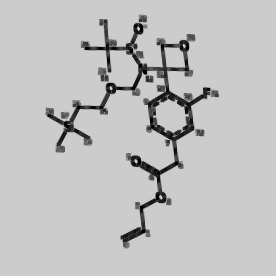 C=CCOC(=O)Cc1ccc(C2(N(COCC[Si](C)(C)C)[S+]([O-])C(C)(C)C)COC2)c(F)c1